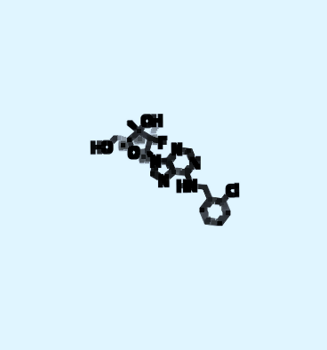 C[C@]1(O)[C@@H](CO)O[C@H](n2cnc3c(NCc4ccccc4Cl)ncnc32)[C@]1(C)F